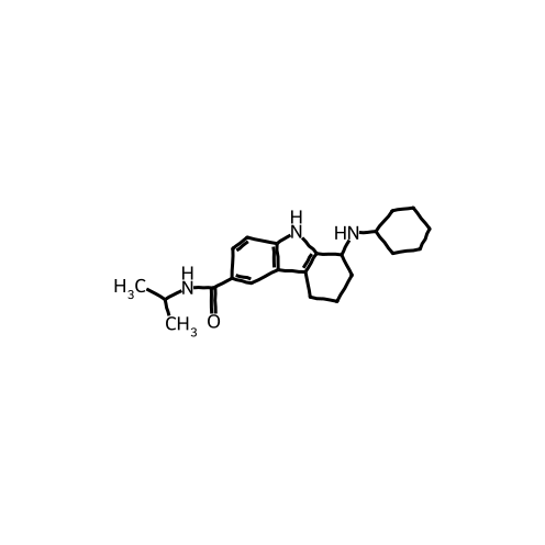 CC(C)NC(=O)c1ccc2[nH]c3c(c2c1)CCCC3NC1CCCCC1